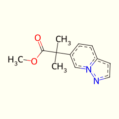 COC(=O)C(C)(C)c1ccc2ccnn2c1